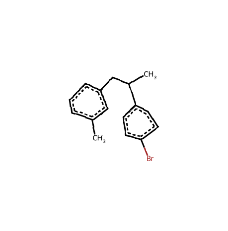 Cc1cccc(CC(C)c2ccc(Br)cc2)c1